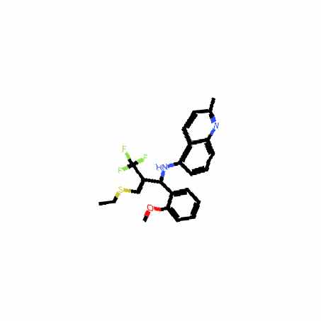 CCSCC(C(Nc1cccc2nc(C)ccc12)c1ccccc1OC)C(F)(F)F